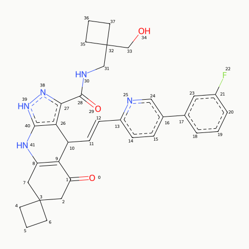 O=C1CC2(CCC2)CC2=C1C(/C=C/c1ccc(-c3cccc(F)c3)cn1)c1c(C(=O)NCC3(CO)CCC3)n[nH]c1N2